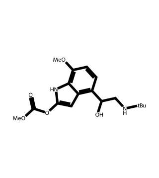 COC(=O)Oc1cc2c(C(O)CNC(C)(C)C)ccc(OC)c2[nH]1